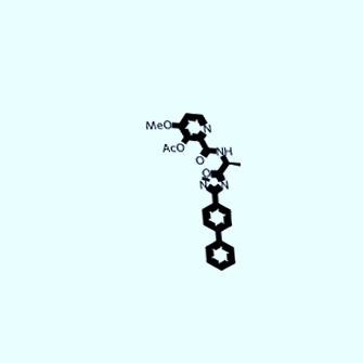 COc1ccnc(C(=O)N[C@@H](C)c2nc(-c3ccc(-c4ccccc4)cc3)no2)c1OC(C)=O